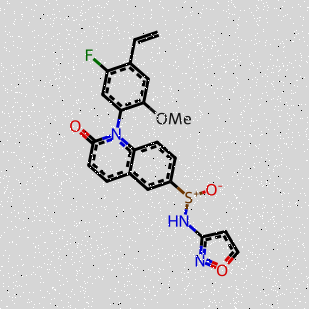 C=Cc1cc(OC)c(-n2c(=O)ccc3cc([S+]([O-])Nc4ccon4)ccc32)cc1F